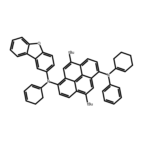 CC(C)(C)c1cc2c(N(C3=CCCCC3)c3ccccc3)ccc3c(C(C)(C)C)cc4c(N(C5=CC=CCC5)c5ccc6oc7ccccc7c6c5)ccc1c4c23